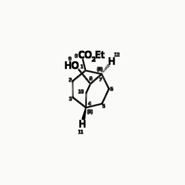 CCOC(=O)C1CC[C@H]2CC[C@H]1C(O)C2